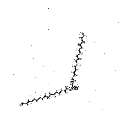 CCCCCCCCC=CCCCCCCCCO[PH](=O)OCCCCCCCCC=CCCCCCCCC